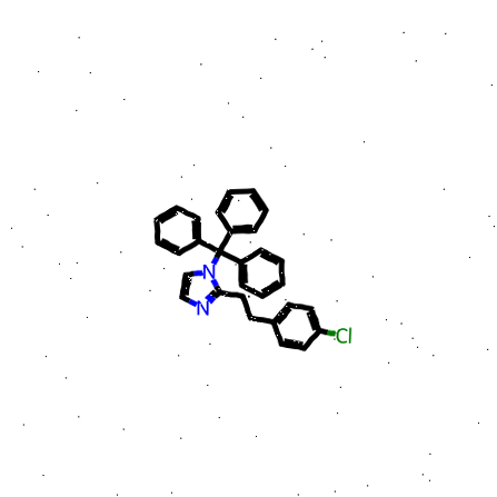 Clc1ccc(C[CH]c2nccn2C(c2ccccc2)(c2ccccc2)c2ccccc2)cc1